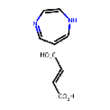 C1=CNC=CN=C1.O=C(O)C=CC(=O)O